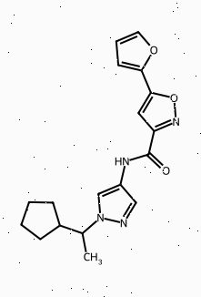 CC(C1CCCC1)n1cc(NC(=O)c2cc(-c3ccco3)on2)cn1